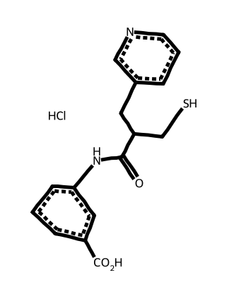 Cl.O=C(O)c1cccc(NC(=O)C(CS)Cc2cccnc2)c1